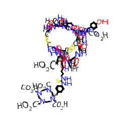 CC(C)C[C@@H]1NC(=O)[C@H](CCC(=O)O)NC(=O)C2CSSC[C@@H]3NC(=O)C(C)NC(=O)[C@H]4CCCN4C(=O)[C@H](CC(N)=O)NC(=O)[C@H](CSSC[C@H](NC(=O)CCCCCNC(=S)Nc4ccc(C[C@H]5CN(CC(=O)O)CCN(CC(=O)O)CCN(CC(=O)O)CCN5CC(=O)O)cc4)C(=O)N2)NC(=O)[C@H](CSSC[C@@H](C(=O)N[C@@H](Cc2ccc(O)cc2)C(=O)O)NC(=O)CNC(=O)[C@@H](C)NC3=O)NC1=O